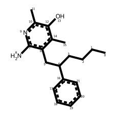 CCCCC(Cc1c(N)nc(C)c(O)c1C)c1ccccc1